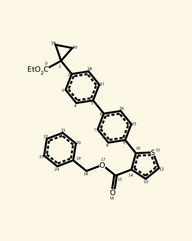 CCOC(=O)C1(c2ccc(-c3ccc(-c4sccc4C(=O)OCc4ccccc4)cc3)cc2)CC1